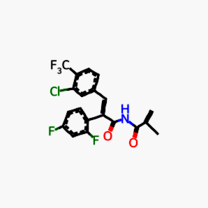 C=C(C)C(=O)NC(=O)/C(=C/c1ccc(C(F)(F)F)c(Cl)c1)c1ccc(F)cc1F